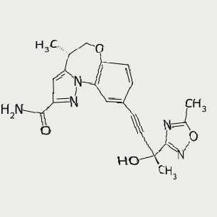 Cc1nc([C@](C)(O)C#Cc2ccc3c(c2)-n2nc(C(N)=O)cc2[C@H](C)CO3)no1